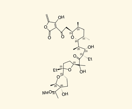 C=C1OC(=O)C(C(=O)C[C@@H]2O[C@@H]([C@H](C)[C@H](O)[C@H](CC)C(=O)C(C)(O)[C@@H]3CC[C@@](CC)([C@@H]4CC[C@@](O)([C@@H](C)OC)[C@@H](C)O4)O3)[C@@H](C)C[C@@H]2C)=C1O